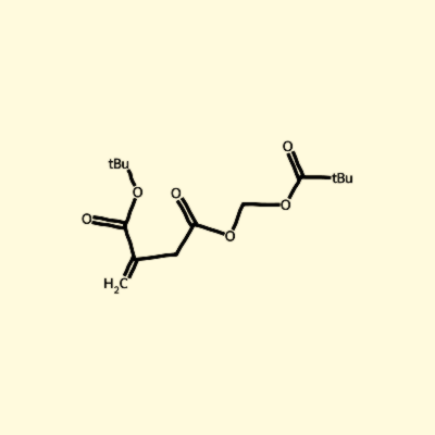 C=C(CC(=O)OCOC(=O)C(C)(C)C)C(=O)OC(C)(C)C